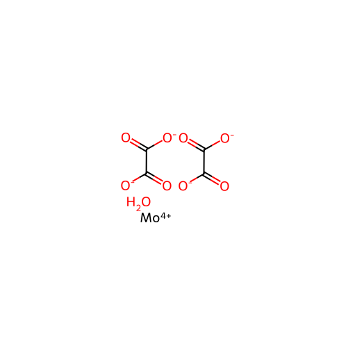 O.O=C([O-])C(=O)[O-].O=C([O-])C(=O)[O-].[Mo+4]